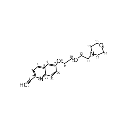 C#Cc1ccc2cc(OCCOCCN3CCOCC3)ccc2n1